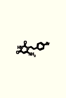 Nc1cc(=O)[nH]c(=O)n1CCc1ccc(Br)cc1